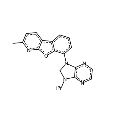 Cc1ccc2c(n1)oc1c(N3CN(C(C)C)c4nccnc43)cccc12